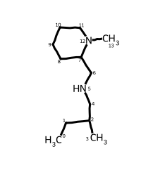 CCC(C)CNCC1CCCCN1C